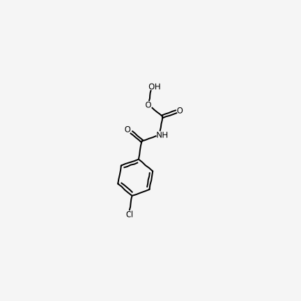 O=C(NC(=O)c1ccc(Cl)cc1)OO